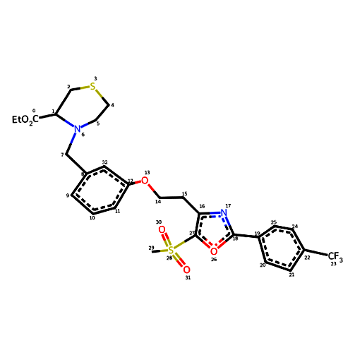 CCOC(=O)C1CSCCN1Cc1cccc(OCCc2nc(-c3ccc(C(F)(F)F)cc3)oc2S(C)(=O)=O)c1